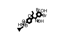 CCc1oc2cc(S(=O)(=O)NCC3CC3)ccc2c1C(=NO)c1cc(Br)c(O)c(Br)c1